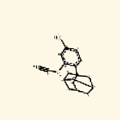 Cc1ccc(C23CC4CC(CC(C4)C2)C3)c(OC#N)c1